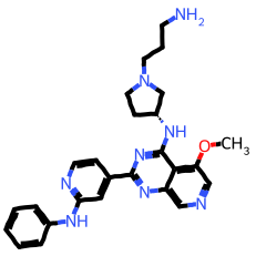 COc1cncc2nc(-c3ccnc(Nc4ccccc4)c3)nc(N[C@@H]3CCN(CCCN)C3)c12